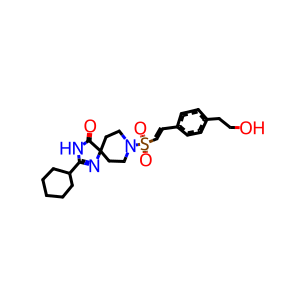 O=C1NC(C2CCCCC2)=NC12CCN(S(=O)(=O)C=Cc1ccc(CCO)cc1)CC2